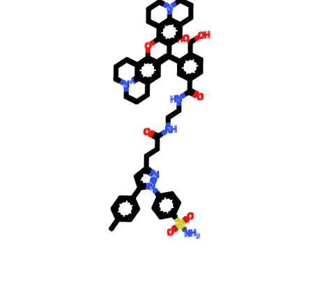 Cc1ccc(-c2cc(CCC(=O)NCCNC(=O)c3ccc(C(O)O)c(C4=c5cc6c7c(c5Oc5c4cc4c8c5CCCN8CCC4)CCC[N+]=7CCC6)c3)nn2-c2ccc(S(N)(=O)=O)cc2)cc1